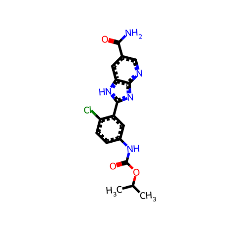 CC(C)OC(=O)Nc1ccc(Cl)c(-c2nc3ncc(C(N)=O)cc3[nH]2)c1